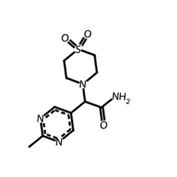 Cc1ncc(C(C(N)=O)N2CCS(=O)(=O)CC2)cn1